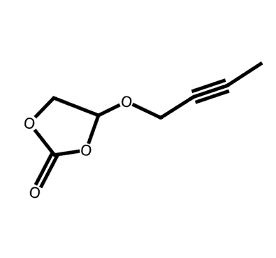 CC#CCOC1COC(=O)O1